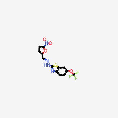 O=[N+]([O-])c1ccc(C=NNc2nc3ccc(OC(F)(F)F)cc3s2)o1